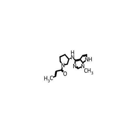 C/C=C/C(=O)N1CCC[C@@H](NC2=C3C=CNC3N(C)C=N2)C1